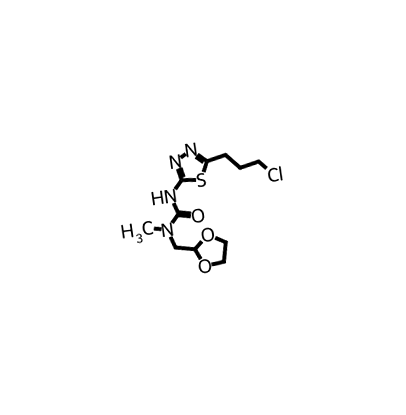 CN(CC1OCCO1)C(=O)Nc1nnc(CCCCl)s1